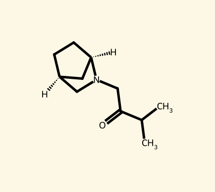 CC(C)C(=O)CN1C[C@H]2CC[C@@H]1C2